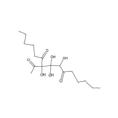 CCCCCC(=O)C(O)C(O)(O)C(O)(C(C)=O)C(=O)CCCCC